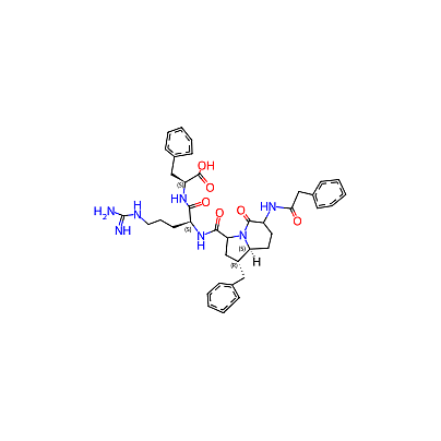 N=C(N)NCCC[C@H](NC(=O)C1C[C@@H](Cc2ccccc2)[C@@H]2CCC(NC(=O)Cc3ccccc3)C(=O)N12)C(=O)N[C@@H](Cc1ccccc1)C(=O)O